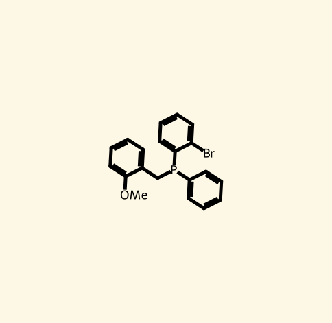 COc1ccccc1CP(c1ccccc1)c1ccccc1Br